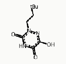 CC(C)(C)CCn1nc(O)c(=O)[nH]c1=O